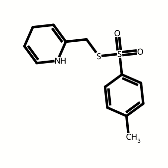 Cc1ccc(S(=O)(=O)SCC2=CCC=CN2)cc1